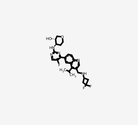 CC(C)c1c(CNC2CC(F)(F)C2)cnc2ccc(-c3nc(N[C@@H]4CCOC[C@H]4O)ncc3F)cc12